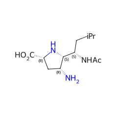 CC(=O)N[C@@H](CC(C)C)[C@H]1N[C@@H](C(=O)O)C[C@H]1N